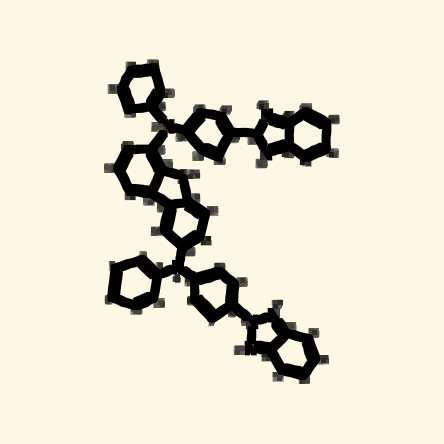 c1ccc(N(c2ccc(-n3nc4ccccc4n3)cc2)c2ccc3sc4c(N(c5ccccc5)c5ccc(C6N=c7ccccc7=N6)cc5)cccc4c3c2)cc1